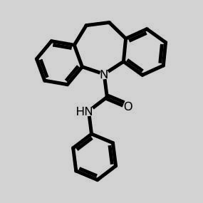 O=C(Nc1ccccc1)N1c2ccccc2CCc2ccccc21